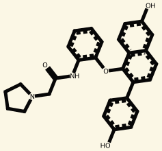 O=C(CN1CCCC1)Nc1ccccc1Oc1c(-c2ccc(O)cc2)ccc2cc(O)ccc12